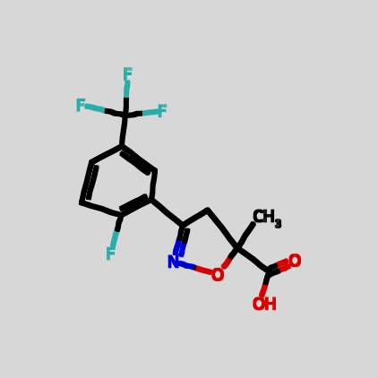 CC1(C(=O)O)CC(c2cc(C(F)(F)F)ccc2F)=NO1